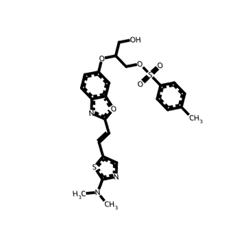 Cc1ccc(S(=O)(=O)OCC(CO)Oc2ccc3nc(/C=C/c4cnc(N(C)C)s4)oc3c2)cc1